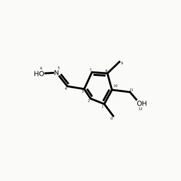 Cc1cc(C=NO)cc(C)c1CO